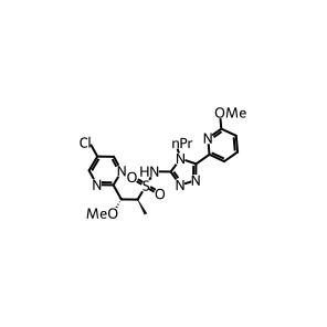 CCCn1c(NS(=O)(=O)[C@@H](C)[C@H](OC)c2ncc(Cl)cn2)nnc1-c1cccc(OC)n1